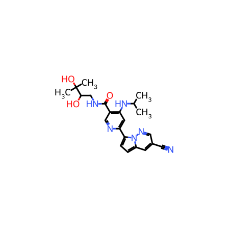 CC(C)Nc1cc(-c2ccc3cc(C#N)cnn23)ncc1C(=O)NCC(O)C(C)(C)O